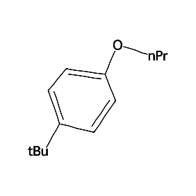 C[CH]COc1ccc(C(C)(C)C)cc1